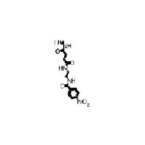 O=C(CCC(=O)NCCNC(=O)c1ccc([N+](=O)[O-])cc1)NO